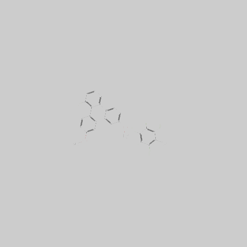 CC(C)(C)Oc1ccc(-c2cccc(S)c2-c2ccc(OC(C)(C)C)cc2)cc1.O=S(=O)(O)c1c(F)c(F)c(F)c(F)c1F